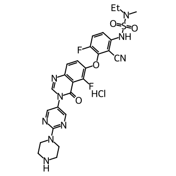 CCN(C)S(=O)(=O)Nc1ccc(F)c(Oc2ccc3ncn(-c4cnc(N5CCNCC5)nc4)c(=O)c3c2F)c1C#N.Cl